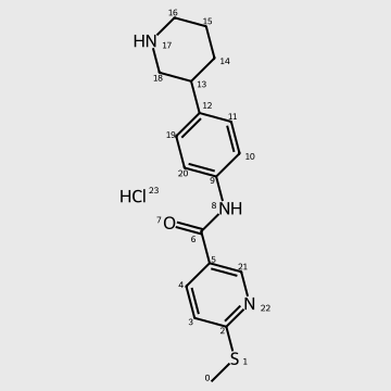 CSc1ccc(C(=O)Nc2ccc(C3CCCNC3)cc2)cn1.Cl